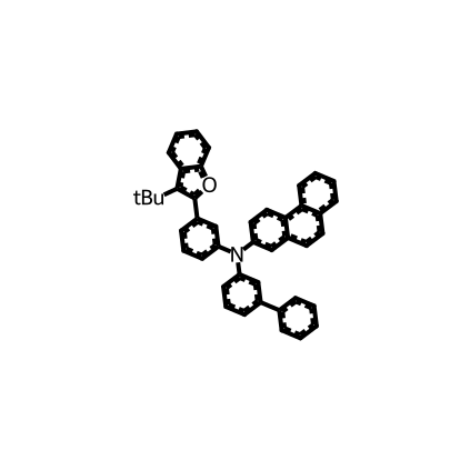 CC(C)(C)c1c(-c2cccc(N(c3cccc(-c4ccccc4)c3)c3ccc4c(ccc5ccccc54)c3)c2)oc2ccccc12